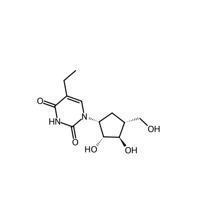 CCc1cn([C@@H]2C[C@H](CO)[C@@H](O)[C@@H]2O)c(=O)[nH]c1=O